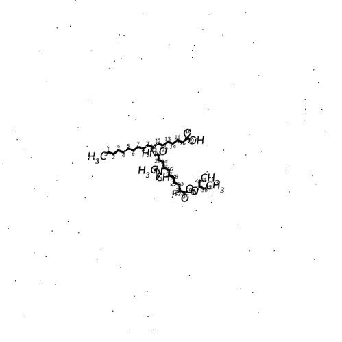 CCCCCCCCCCC(CCCCC=CC(=O)O)NC(=O)CCC(CCCCCC(F)C(=O)OOC(CC)CC)N(C)C